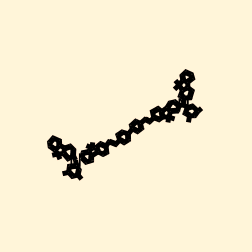 Cc1cc(C)cc(N(C2=CC3C(C=C2)c2ccccc2C3(C)C)c2ccc3c(c2)C(C)(C)c2cc(/C=C/c4ccc(-c5ccc(/C=C/c6ccc7c(c6)C(C)(C)c6cc(N(c8cc(C)cc(C)c8)c8ccc9c(c8)C(C)(C)c8ccccc8-9)ccc6-7)cc5)cc4)ccc2-3)c1